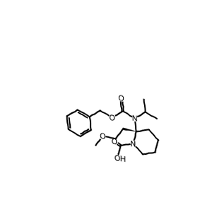 COCC[C@@]1(N(C(=O)OCc2ccccc2)C(C)C)CCCCN1C(=O)O